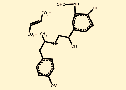 COc1ccc(CC(C)NCC(O)c2ccc(O)c(NC=O)c2)cc1.O=C(O)C=CC(=O)O